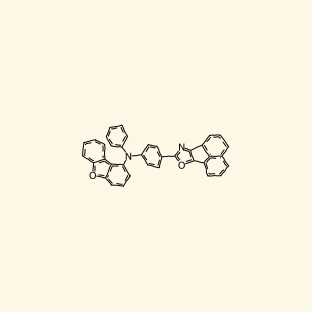 c1ccc(N(c2ccc(-c3nc4c(o3)-c3cccc5cccc-4c35)cc2)c2cccc3oc4ccccc4c23)cc1